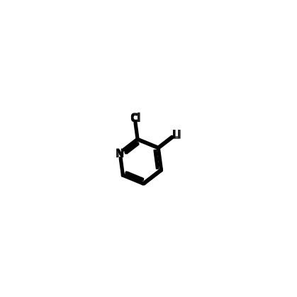 [Li][c]1cccnc1Cl